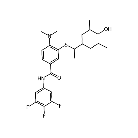 CCCC(CC(C)CO)C(C)Sc1cc(C(=O)Nc2cc(F)c(F)c(F)c2)ccc1N(C)C